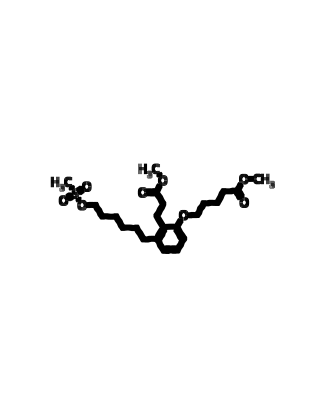 COC(=O)CCCCOc1cccc(CCCCCCOS(C)(=O)=O)c1CCC(=O)OC